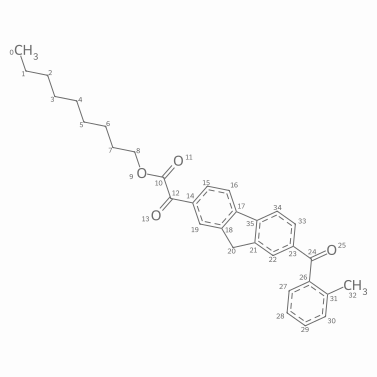 CCCCCCCCCOC(=O)C(=O)c1ccc2c(c1)Cc1cc(C(=O)c3ccccc3C)ccc1-2